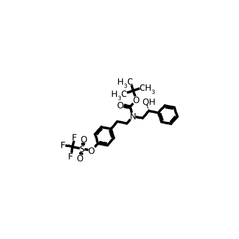 CC(C)(C)OC(=O)N(CCc1ccc(OS(=O)(=O)C(F)(F)F)cc1)C[C@H](O)c1ccccc1